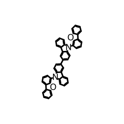 c1ccc2c(c1)oc1c(-n3c4ccccc4c4cc(-c5ccc6c(c5)c5ccccc5n6-c5cccc6c5oc5ccccc56)ccc43)cccc12